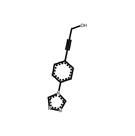 OCC#Cc1ccc(-n2cnnc2)cc1